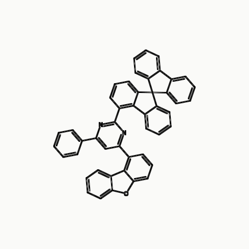 c1ccc(-c2cc(-c3cccc4oc5ccccc5c34)nc(-c3cccc4c3-c3ccccc3C43c4ccccc4-c4ccccc43)n2)cc1